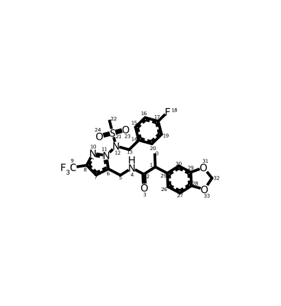 CC(C(=O)NCc1cc(C(F)(F)F)nn1N(Cc1ccc(F)cc1)S(C)(=O)=O)c1ccc2c(c1)OCO2